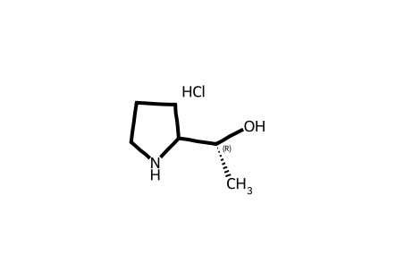 C[C@@H](O)C1CCCN1.Cl